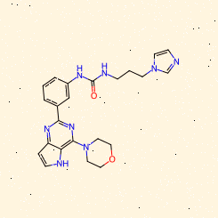 O=C(NCCCn1ccnc1)Nc1cccc(-c2nc(N3CCOCC3)c3[nH]ccc3n2)c1